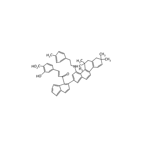 Cc1ccc(CCNc2cc(-c3ccc4ccccc4c3C(=O)C=Cc3ccc(C(=O)O)c(O)c3)cc3ccc4c(c23)C(C)(C)CC2=C4C=CC(C)(C)C2)cc1